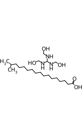 CC(C)CCCCCCCCCCCCCCC(=O)O.OCNC(NCO)NCO